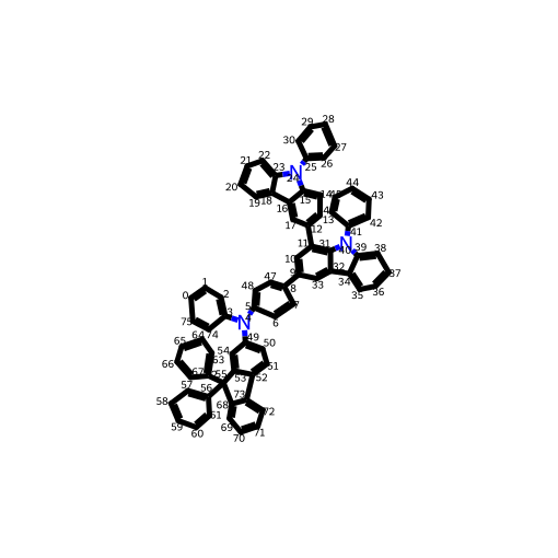 c1ccc(N(c2ccc(-c3cc(-c4ccc5c(c4)c4ccccc4n5-c4ccccc4)c4c(c3)c3ccccc3n4-c3ccccc3)cc2)c2ccc3c(c2)C(c2ccccc2)(c2ccccc2)c2ccccc2-3)cc1